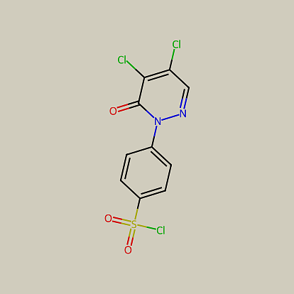 O=c1c(Cl)c(Cl)cnn1-c1ccc(S(=O)(=O)Cl)cc1